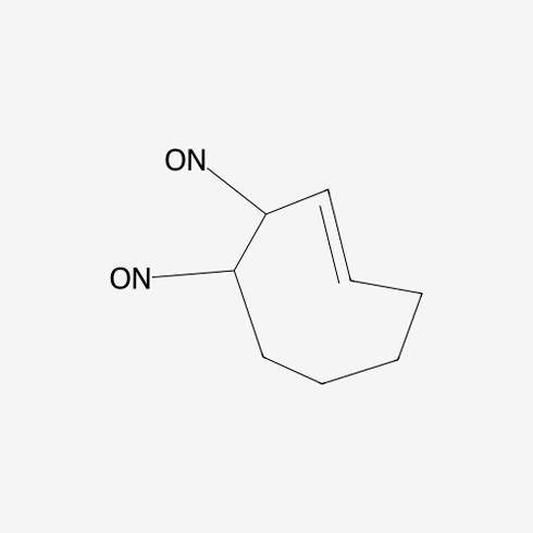 O=NC1/C=C/CCCCC1N=O